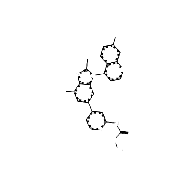 Cc1nc2c(C(=O)O)cc(-c3ccnc(NC(=O)OC(C)(C)C)c3)cc2n1-c1ccnc2cc(F)ccc12